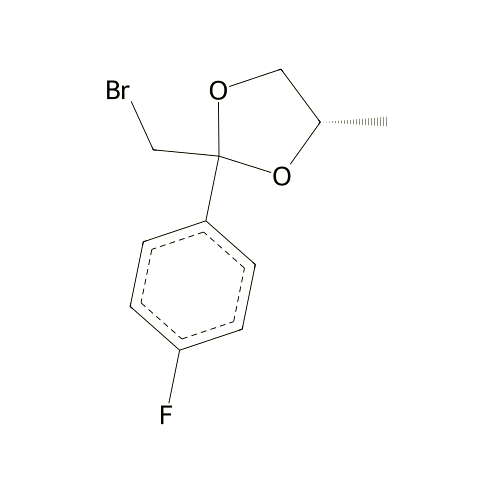 C[C@H]1COC(CBr)(c2ccc(F)cc2)O1